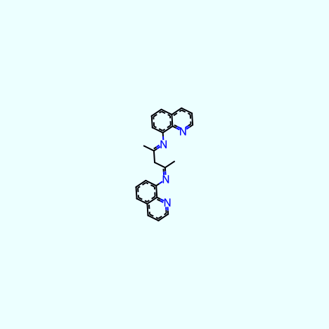 CC(CC(C)=Nc1cccc2cccnc12)=Nc1cccc2cccnc12